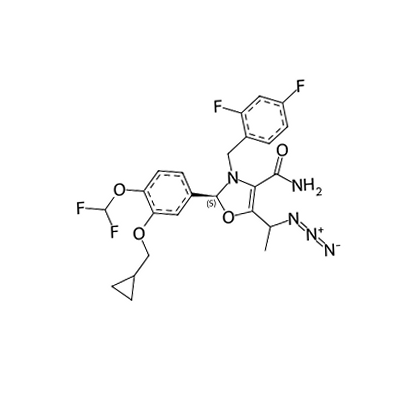 CC(N=[N+]=[N-])C1=C(C(N)=O)N(Cc2ccc(F)cc2F)[C@H](c2ccc(OC(F)F)c(OCC3CC3)c2)O1